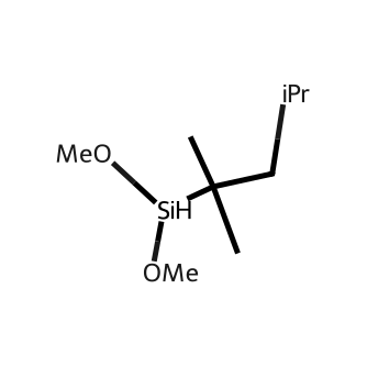 CO[SiH](OC)C(C)(C)CC(C)C